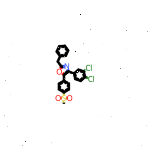 CS(=O)(=O)c1ccc(-c2oc(Cc3ccccc3)nc2-c2ccc(Cl)c(Cl)c2)cc1